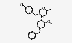 CO[C@H]1CN(Cc2ccccc2)CCC1N1C[C@H](C)OCC1Cc1ccc(Cl)cc1